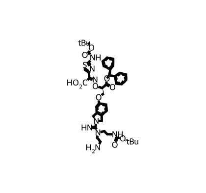 CC(C)(C)OC(=O)NCCN(CCN)C(=N)N1Cc2ccc(OC[C@H](O/N=C(\C(=O)O)c3csc(NC(=O)OC(C)(C)C)n3)C(=O)OC(c3ccccc3)c3ccccc3)cc2C1